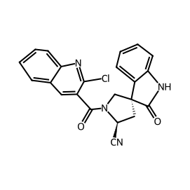 N#C[C@@H]1C[C@@]2(CN1C(=O)c1cc3ccccc3nc1Cl)C(=O)Nc1ccccc12